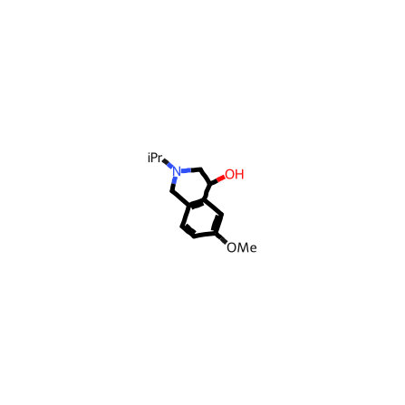 COc1ccc2c(c1)C(O)CN(C(C)C)C2